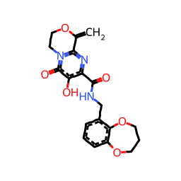 C=C1OCCn2c1nc(C(=O)NCc1cccc3c1OCCCO3)c(O)c2=O